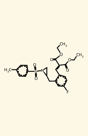 CCOC(=O)C(=Cc1ccc(F)cc1CC1CN1S(=O)(=O)c1ccc(C)cc1)C(=O)OCC